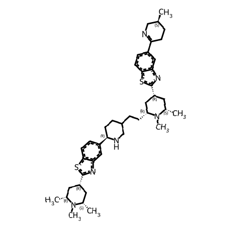 C[C@H]1CCC(c2ccc3sc([C@H]4C[C@@H](CCC5CC[C@H](c6ccc7sc([C@H]8C[C@@H](C)N(C)[C@@H](C)C8)nc7c6)NC5)N(C)[C@@H](C)C4)nc3c2)=NC1